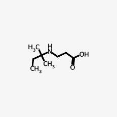 CCC(C)(C)NCCC(=O)O